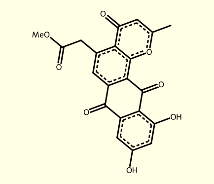 COC(=O)Cc1cc2c(c3oc(C)cc(=O)c13)C(=O)c1c(O)cc(O)cc1C2=O